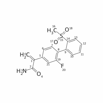 C=C(C(N)=O)c1ccc(-c2ccccc2S(C)(=O)=O)c(F)c1